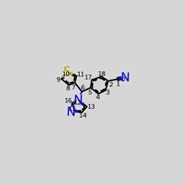 N#Cc1ccc(C(c2ccsc2)n2ccnc2)cc1